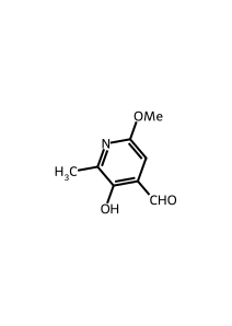 COc1cc(C=O)c(O)c(C)n1